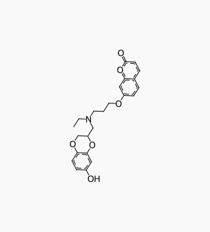 CCN(CCCOc1ccc2ccc(=O)oc2c1)CC1COc2ccc(O)cc2O1